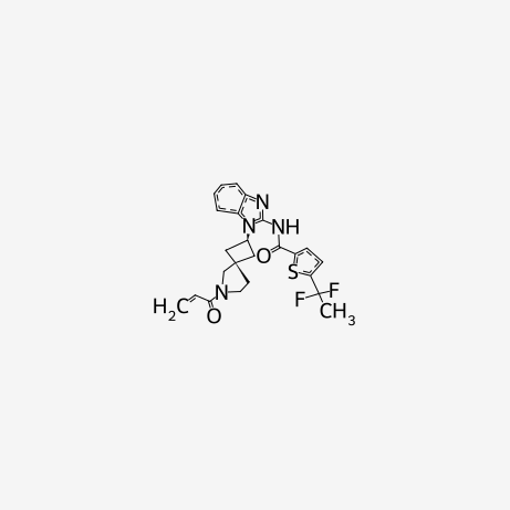 C=CC(=O)N1CC[C@]2(C1)C[C@H](n1c(NC(=O)c3ccc(C(C)(F)F)s3)nc3ccccc31)C2